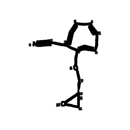 N#Cc1ccccc1OC[C@@H]1CO1